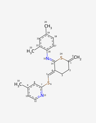 C=C1CCC(=C\Sc2cc(C)ccn2)/C(=N/c2ccc(C)cc2C)S1